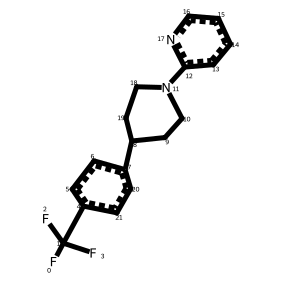 FC(F)(F)c1ccc(C2CCN(c3ccccn3)CC2)cc1